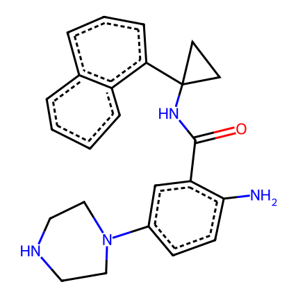 Nc1ccc(N2CCNCC2)cc1C(=O)NC1(c2cccc3ccccc23)CC1